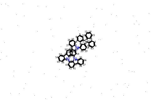 c1ccc([Si](c2ccccc2)(c2ccccc2)c2cccc(-n3c4ccccc4c4ccc(-n5c6ccccc6c6cccc(-n7c8ccccc8c8ccccc87)c65)cc43)c2)cc1